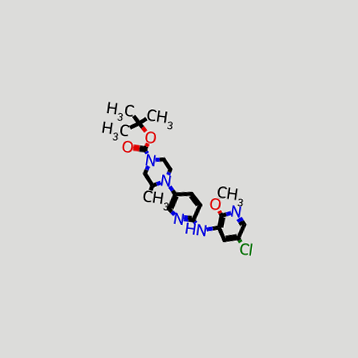 COc1ncc(Cl)cc1Nc1ccc(N2CCN(C(=O)OC(C)(C)C)CC2C)cn1